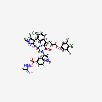 CC(=N)NOC(=O)c1ccc2c(c1)c(N1C[C@@H](C)n3c(c(CCCOc4cc(C)c(Cl)c(C)c4)c4ccc(Cl)c(-c5c(C)nn(C)c5C)c43)C1=O)cn2C